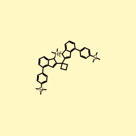 C[Si](C)(C)c1ccc(-c2cccc3c2C=C2[CH]3[Hf]([CH3])([CH3])[CH]3C(=Cc4c(-c5ccc([Si](C)(C)C)cc5)cccc43)C23CCC3)cc1